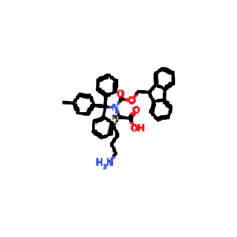 Cc1ccc(C(c2ccccc2)(c2ccccc2)N(C(=O)OCC2c3ccccc3-c3ccccc32)[C@@H](CCCCN)C(=O)O)cc1